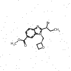 CCC(Br)c1nc2ccc(C(=O)OC)cc2n1C[C@@H]1CCO1